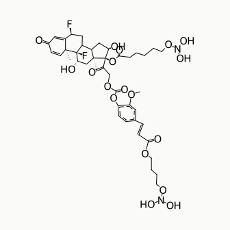 COc1cc(/C=C/C(=O)OCCCCON(O)O)ccc1OC(=O)OCC(=O)[C@@]1(OC(=O)CCCCCON(O)O)[C@H](O)CC2C3C[C@H](F)C4=CC(=O)C=C[C@]4(C)[C@@]3(F)[C@@H](O)C[C@@]21C